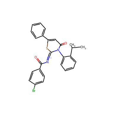 CC(C)c1ccccc1-n1c(=O)cc(-c2ccccc2)s/c1=N\C(=O)c1ccc(Br)cc1